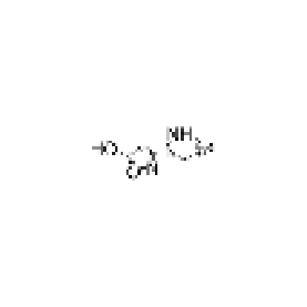 C#CCN(N)c1cc(O)on1